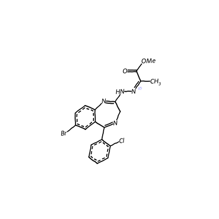 COC(=O)/C(C)=N\NC1=Nc2ccc(Br)cc2C(c2ccccc2Cl)=NC1